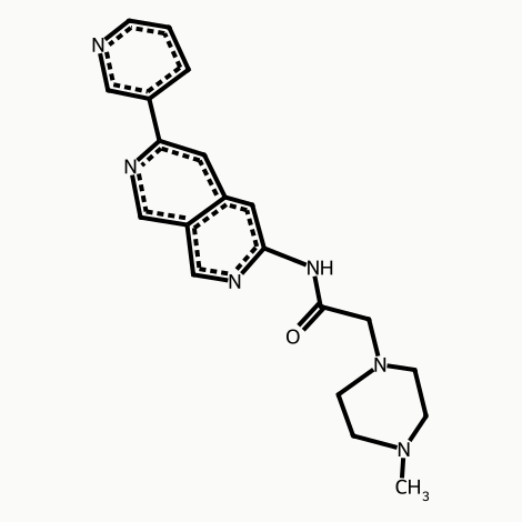 CN1CCN(CC(=O)Nc2cc3cc(-c4cccnc4)ncc3cn2)CC1